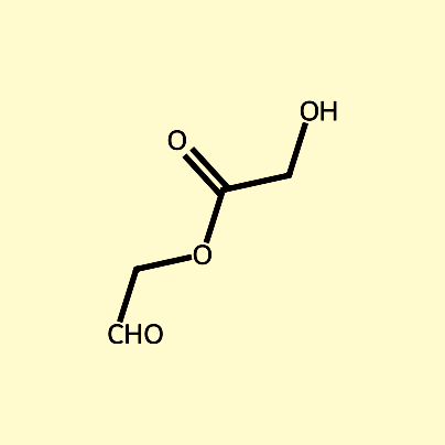 O=CCOC(=O)CO